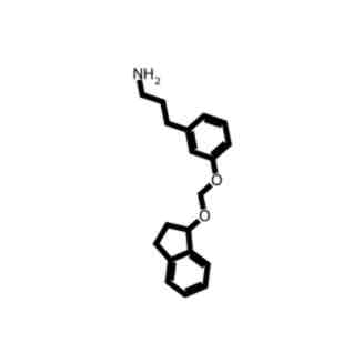 NCCCc1cccc(OCOC2CCc3ccccc32)c1